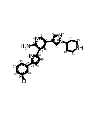 Nc1ncc(-c2cnn(C3CCNCC3)c2)cc1-c1ccc(-c2cccc(Cl)c2)[nH]1